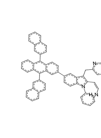 N/C=C\c1c(Cc2ccccn2)c2cc(-c3ccc4c(-c5ccc6ccccc6c5)c5ccccc5c(-c5ccc6ccccc6c5)c4c3)ccc2n1-c1ccccc1